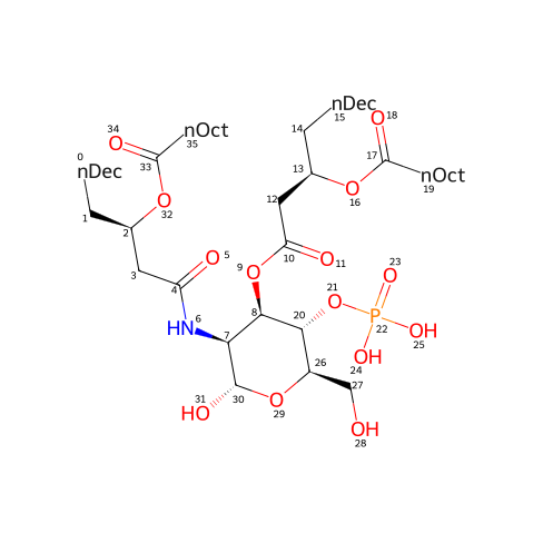 CCCCCCCCCCC[C@H](CC(=O)N[C@H]1[C@@H](OC(=O)C[C@@H](CCCCCCCCCCC)OC(=O)CCCCCCCC)[C@H](OP(=O)(O)O)[C@@H](CO)O[C@@H]1O)OC(=O)CCCCCCCC